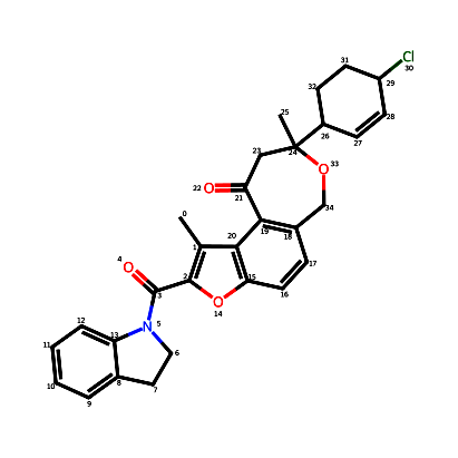 Cc1c(C(=O)N2CCc3ccccc32)oc2ccc3c(c12)C(=O)CC(C)(C1C=CC(Cl)CC1)OC3